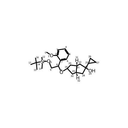 COc1ccccc1C(CO[Si](C)(C)C(C)(C)C)OC1C[C@@H]2CC(O)(C3CC3)C[C@@H]2C1